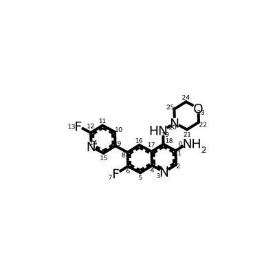 Nc1cnc2cc(F)c(-c3ccc(F)nc3)cc2c1NN1CCOCC1